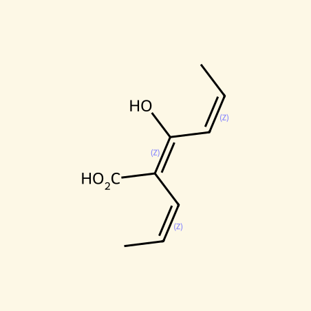 C\C=C/C(O)=C(\C=C/C)C(=O)O